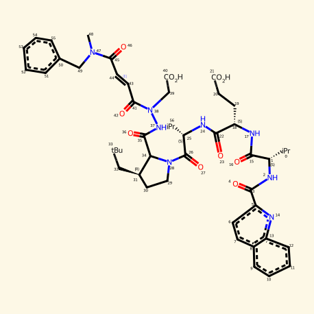 CC(C)[C@H](NC(=O)c1ccc2ccccc2n1)C(=O)N[C@@H](CCC(=O)O)C(=O)N[C@H](C(=O)N1CC[C@@H](CC(C)(C)C)C1C(=O)NN(CC(=O)O)C(=O)/C=C/C(=O)N(C)Cc1ccccc1)C(C)C